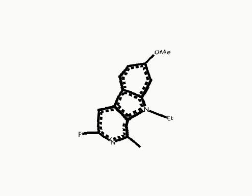 C[CH]n1c2cc(OC)ccc2c2cc(F)nc(C)c21